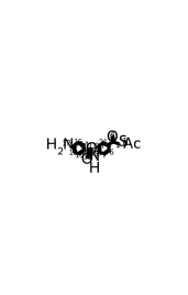 CC(=O)SCC(=O)c1ccc(NS(=O)(=O)c2ccc(N)cc2)cc1